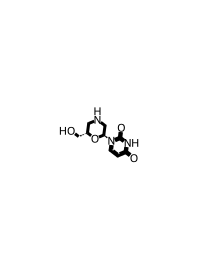 O=c1ccn([C@H]2CNC[C@@H](CO)O2)c(=O)[nH]1